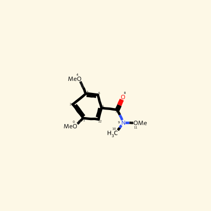 COc1cc(OC)cc(C(=O)N(C)OC)c1